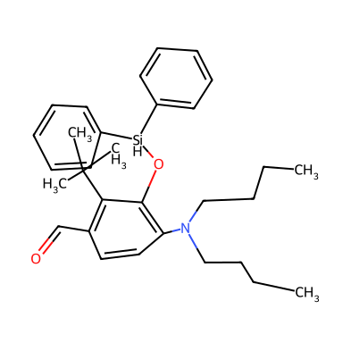 CCCCN(CCCC)c1ccc(C=O)c(C(C)(C)C)c1O[SiH](c1ccccc1)c1ccccc1